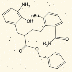 CCCCc1cccc(C(N)=O)c1CCC(Cc1cccc(N)c1O)C(=O)OCc1ccccc1